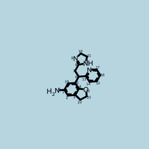 Nc1cc2c(c(C(CC3=NCCN3)c3ccccn3)c1)OCC2